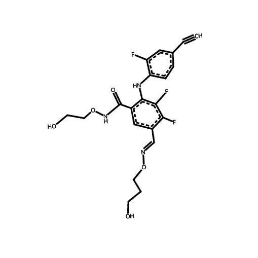 C#Cc1ccc(Nc2c(C(=O)NOCCO)cc(C=NOCCCO)c(F)c2F)c(F)c1